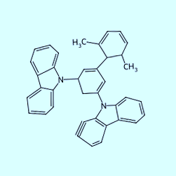 CC1=CC=CC(C)C1C1=CC(n2c3ccccc3c3ccccc32)CC(n2c3c#cccc3c3ccccc32)=C1